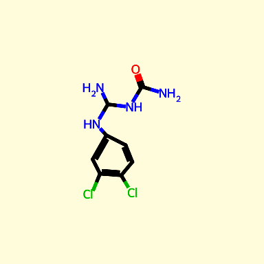 NC(=O)NC(N)Nc1ccc(Cl)c(Cl)c1